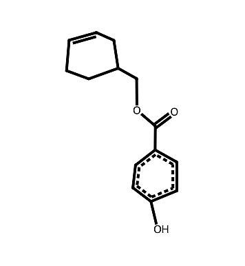 O=C(OCC1CC=CCC1)c1ccc(O)cc1